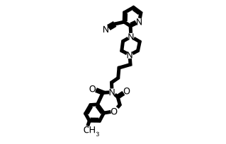 Cc1ccc2c(c1)OCC(=O)N(CCCCN1CCN(c3ncccc3C#N)CC1)C2=O